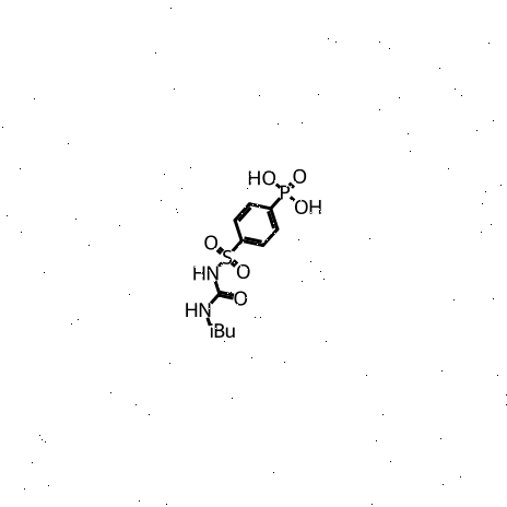 CCC(C)NC(=O)NS(=O)(=O)c1ccc(P(=O)(O)O)cc1